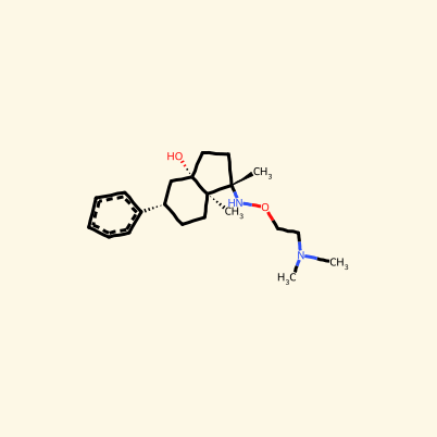 CN(C)CCON[C@@]1(C)CC[C@]2(O)C[C@@H](c3ccccc3)CC[C@@]21C